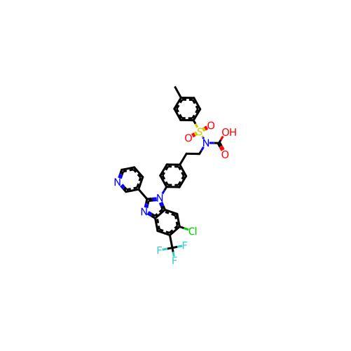 Cc1ccc(S(=O)(=O)N(CCc2ccc(-n3c(-c4cccnc4)nc4cc(C(F)(F)F)c(Cl)cc43)cc2)C(=O)O)cc1